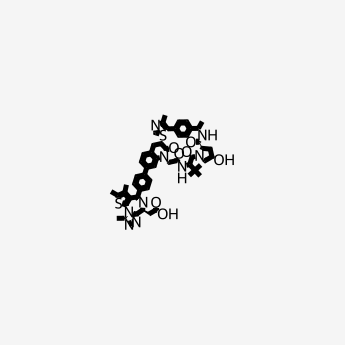 Cc1ncsc1-c1ccc(C(C)NC(=O)[C@@H]2C[C@@H](O)CN2C(=O)C(NC(=O)CN2C(=O)CCc3ccc(-c4ccc(C5=N[C@@H](CC(=O)O)c6nnc(C)n6-c6sc(C)c(C)c65)cc4)cc32)C(C)(C)C)cc1